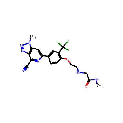 CNC(=O)CNCCOc1ccc(-c2cc3c(nnn3C)c(C#N)n2)cc1C(F)(F)F